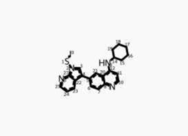 ISn1cc(-c2ccc3nccc(NC4CCCCC4)c3c2)c2cccnc21